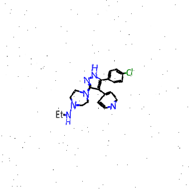 CCNN1CCN(c2n[nH]c(-c3ccc(Cl)cc3)c2-c2ccncc2)CC1